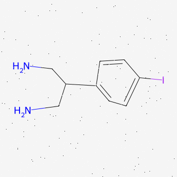 NCC(CN)c1ccc(I)cc1